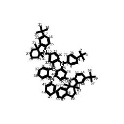 CC(C)(C)c1ccc(N2c3ccc(N4c5ccc(C(C)(C)C)cc5C5(C)CCCCC45C)cc3B3c4ccccc4N(c4ccccc4)c4cc(N5c6ccc(C(C)(C)C)cc6C6(C)CCc7ccccc7C56C)cc2c43)cc1